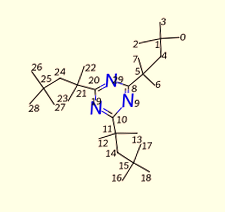 CC(C)(C)CC(C)(C)c1nc(C(C)(C)CC(C)(C)C)nc(C(C)(C)CC(C)(C)C)n1